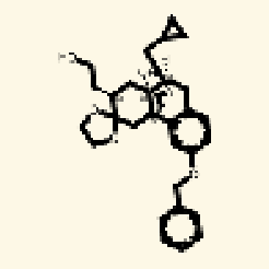 OCC[C@H]1C[C@@]2(O)[C@H]3Cc4ccc(OCc5ccccc5)cc4[C@@]2(CCN3CC2CC2)CC12OCCO2